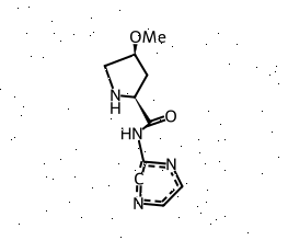 CO[C@@H]1CN[C@H](C(=O)Nc2cnccn2)C1